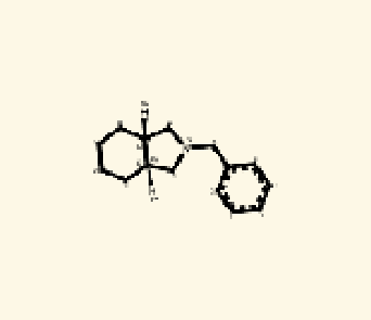 c1ccc(CN2C[C@H]3CCCC[C@H]3C2)cc1